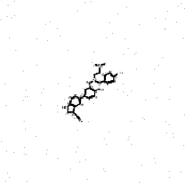 CN(C)CCN(Cc1ccc(F)cc1)Cc1cc(-c2ccc3[nH]cc(C#N)c3c2)ccc1F